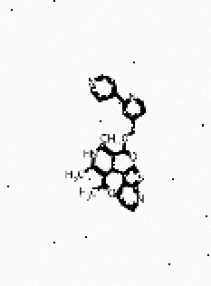 CC(=O)C1=C(C)NC(C)=C(C(=O)OCc2ccnc(-c3ccncc3)c2)C1c1csc2ncccc12